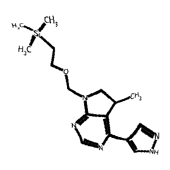 CC1CN(COCC[Si](C)(C)C)c2ncnc(-c3cn[nH]c3)c21